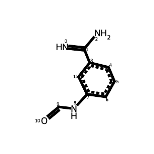 N=C(N)c1cccc(NC=O)c1